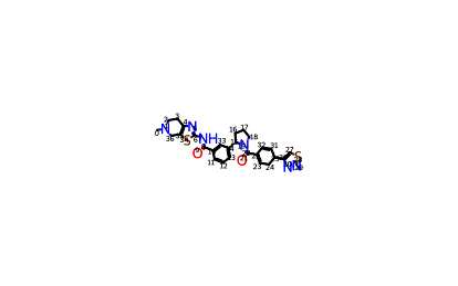 CN1CCc2nc(NC(=O)c3cccc([C@H]4CCCN4C(=O)C4=CCC(c5csnn5)C=C4)c3)sc2C1